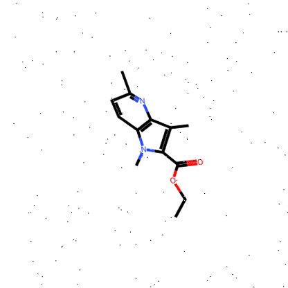 CCOC(=O)c1c(C)c2nc(C)ccc2n1C